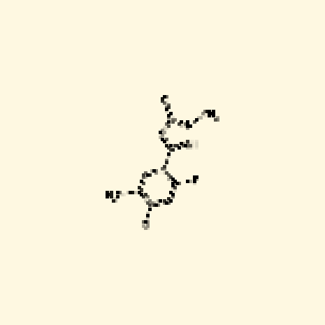 Cc1cc(-c2cc(=O)n(C)[nH]2)c(F)cc1Cl